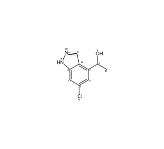 CC(O)c1cc(Cl)cc2[nH]ncc12